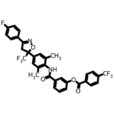 Cc1cc(C2(C(F)(F)F)CC(c3ccc(F)cc3)=NO2)cc(C)c1NC(=O)c1cccc(OC(=O)c2ccc(C(F)(F)F)cc2)c1